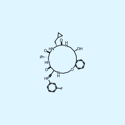 CC(C)[C@H]1NC(=O)C(C#[PH]c2cccc(F)c2)NCCOc2ccccc2C[C@H](O)CNC(=O)[C@H](CC2CC2)NC1=O